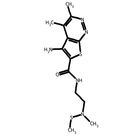 CSN(C)CCNC(=O)c1sc2nnc(C)c(C)c2c1N